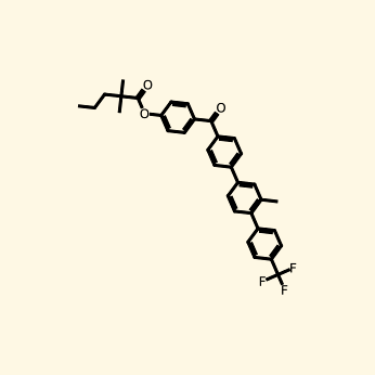 CCCC(C)(C)C(=O)Oc1ccc(C(=O)c2ccc(-c3ccc(-c4ccc(C(F)(F)F)cc4)c(C)c3)cc2)cc1